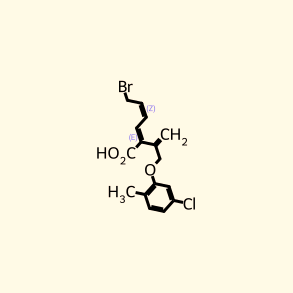 C=C(COc1cc(Cl)ccc1C)/C(=C\C=C/CBr)C(=O)O